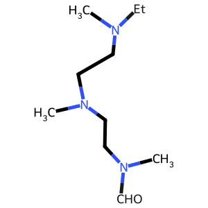 [CH2]CN(C)CCN(C)CCN(C)C=O